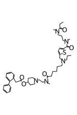 CCCN(CCCCCC(=O)N(C)CCN1CCC(OC(=O)Cc2ccccc2-c2ccccc2)CC1)Cc1ccc(C(=O)N(C)CCCN(C)C(=O)CC)s1